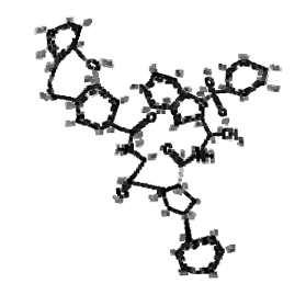 CC(NC(=O)[C@@H]1C[C@@H](c2ccccc2)CN1C(=O)CNC(=O)c1ccc2c(c1)Oc1ccccc1S2)c1cc2cnccc2n1S(=O)(=O)c1ccccc1